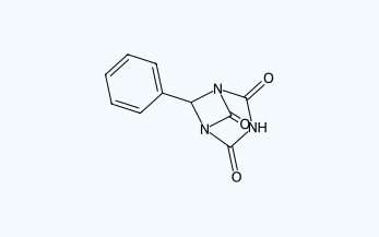 O=c1[nH]c(=O)n2c(=O)n1C2c1ccccc1